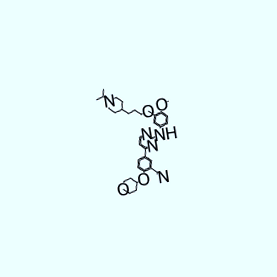 COc1ccc(Nc2nccc(-c3ccc(OC4CCOCC4)c(C#N)c3)n2)cc1OCCCC1CCN(C(C)C)CC1